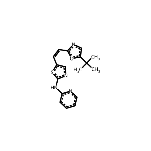 CC(C)(C)c1cnc(/C=C\c2cnc(Nc3ccccn3)s2)o1